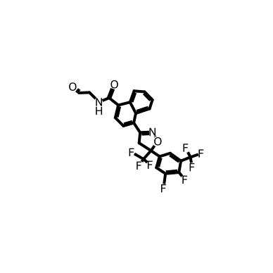 O=CCNC(=O)c1ccc(C2=NOC(c3cc(F)c(F)c(C(F)(F)F)c3)(C(F)(F)F)C2)c2ccccc12